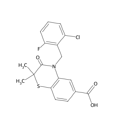 CC1(C)Sc2ccc(C(=O)O)cc2N(Cc2c(F)cccc2Cl)C1=O